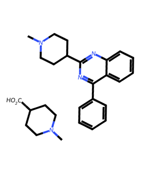 CN1CCC(C(=O)O)CC1.CN1CCC(c2nc(-c3ccccc3)c3ccccc3n2)CC1